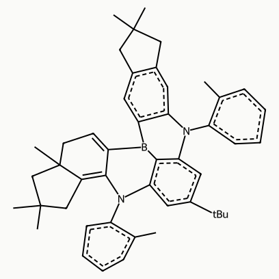 Cc1ccccc1N1C2=C3CC(C)(C)CC3(C)CC=C2B2c3cc4c(cc3N(c3ccccc3C)c3cc(C(C)(C)C)cc1c32)CC(C)(C)C4